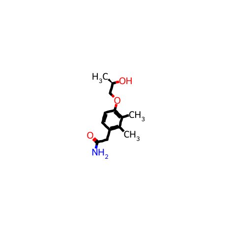 Cc1c(CC(N)=O)ccc(OC[C@@H](C)O)c1C